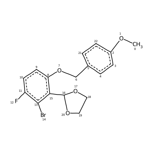 COc1ccc(COc2ccc(F)c(Br)c2C2OCCO2)cc1